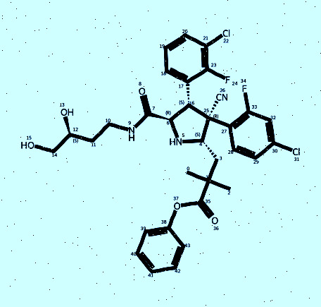 CC(C)(C[C@@H]1N[C@@H](C(=O)NCC[C@H](O)CO)[C@H](c2cccc(Cl)c2F)[C@@]1(C#N)c1ccc(Cl)cc1F)C(=O)Oc1ccccc1